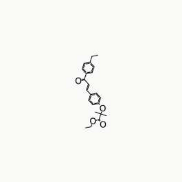 CCOC(=O)C(C)(C)Oc1ccc(C=CC(=O)c2ccc(CC)cc2)cc1